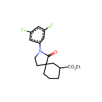 CCOC(=O)C1CCCC2(CCN(c3cc(F)cc(F)c3)C2=O)C1